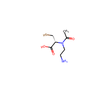 CC(=O)N(CCN)[C@@H](CS)C(=O)O